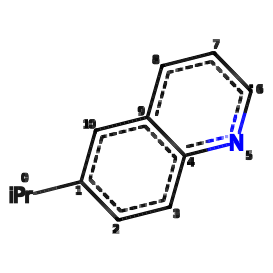 CC(C)c1ccc2n[c]ccc2c1